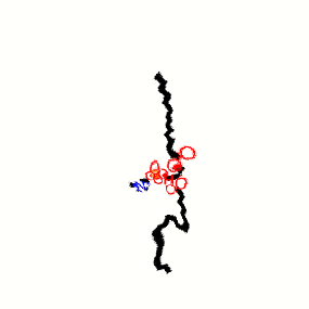 CC/C=C\C/C=C\C/C=C\C/C=C\CCCCC(=O)O[C@H](COC(=O)CCCCCCCCCCCCC)COP(=O)(O)OCC[N+](C)(C)C